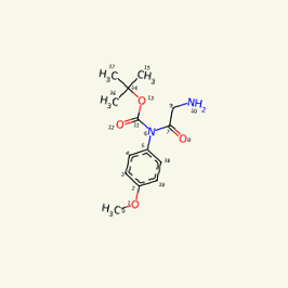 COc1ccc(N(C(=O)CN)C(=O)OC(C)(C)C)cc1